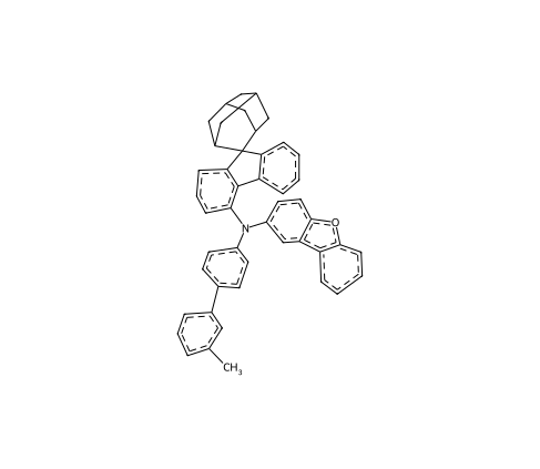 Cc1cccc(-c2ccc(N(c3ccc4oc5ccccc5c4c3)c3cccc4c3-c3ccccc3C43C4CC5CC(C4)CC3C5)cc2)c1